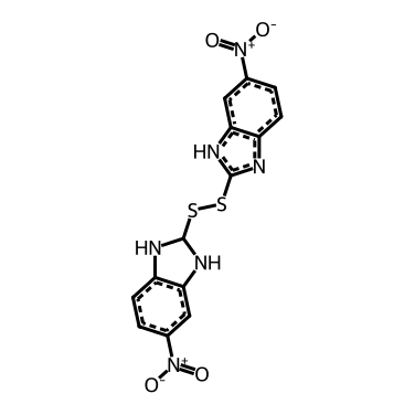 O=[N+]([O-])c1ccc2c(c1)NC(SSc1nc3ccc([N+](=O)[O-])cc3[nH]1)N2